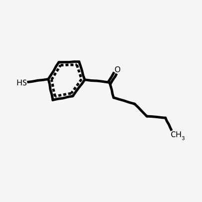 CCCCCC(=O)c1ccc(S)cc1